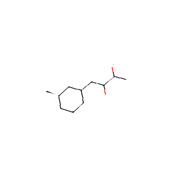 CC(O)C(O)CC1CCC[C@@H](C)C1